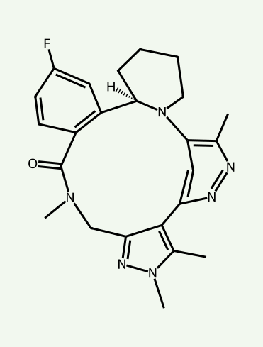 Cc1nnc2cc1N1CCCC[C@@H]1c1cc(F)ccc1C(=O)N(C)Cc1nn(C)c(C)c1-2